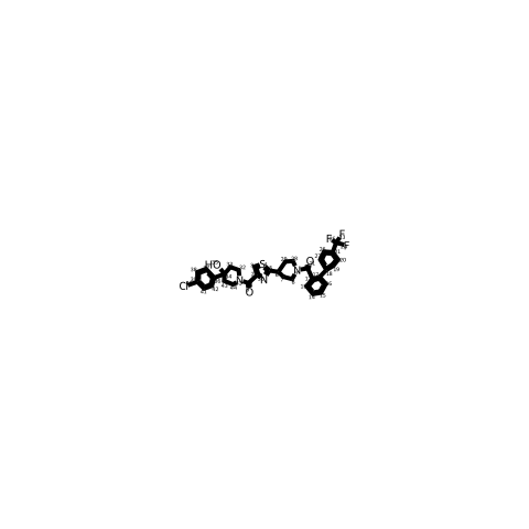 O=C(c1csc(C2CCN(C(=O)c3ccccc3-c3ccc(C(F)(F)F)cc3)CC2)n1)N1CCC(O)(c2ccc(Cl)cc2)CC1